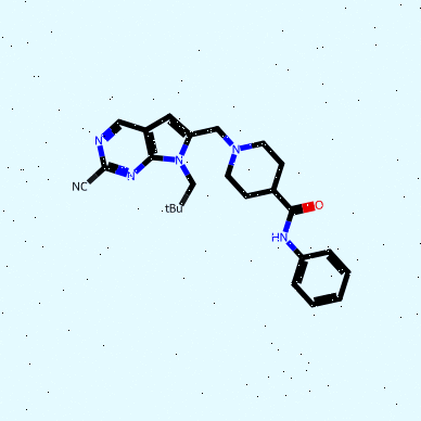 CC(C)(C)Cn1c(CN2CCC(C(=O)Nc3ccccc3)CC2)cc2cnc(C#N)nc21